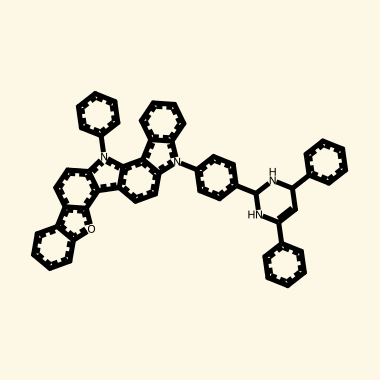 C1=C(c2ccccc2)NC(c2ccc(-n3c4ccccc4c4c3ccc3c5c6oc7ccccc7c6ccc5n(-c5ccccc5)c34)cc2)NC1c1ccccc1